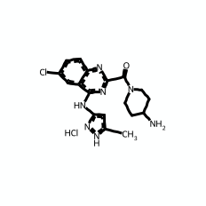 Cc1cc(Nc2nc(C(=O)N3CCC(N)CC3)nc3ccc(Cl)cc23)n[nH]1.Cl